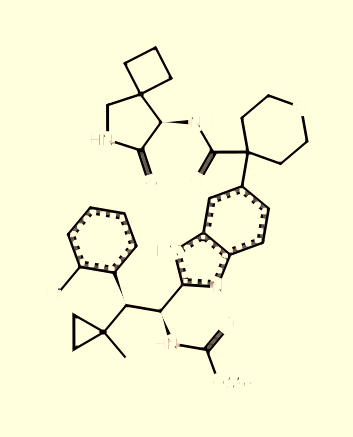 COC(=O)N[C@H](c1nc2ccc(C3(C(=O)N[C@H]4C(=O)NCC45CCC5)CCOCC3)cc2[nH]1)[C@H](c1ccccc1Cl)C1(C)CC1